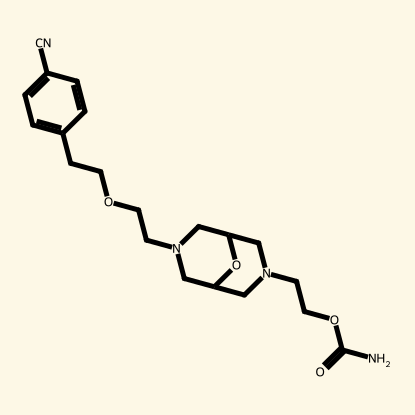 N#Cc1ccc(CCOCCN2CC3CN(CCOC(N)=O)CC(C2)O3)cc1